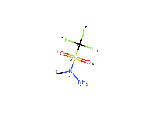 CN(N)S(=O)(=O)C(F)(F)F